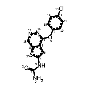 NC(=O)Nc1cc2c(Oc3ccc(Cl)cc3)nncc2s1